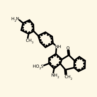 C=C1c2ccccc2C(=O)c2c(Nc3ccc(-c4ccc(N)cc4C)cc3)cc(S(=O)(=O)O)c(N)c21